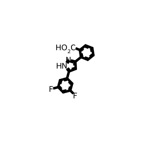 O=C(O)c1ccccc1-c1cc(-c2cc(F)cc(F)c2)[nH]n1